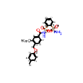 COc1cc(C(=O)NS(=O)(=O)c2ccccc2S(N)(=O)=O)ccc1COc1ccc(C)cc1